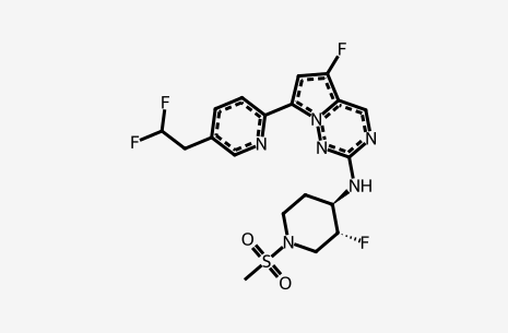 CS(=O)(=O)N1CC[C@@H](Nc2ncc3c(F)cc(-c4ccc(CC(F)F)cn4)n3n2)[C@H](F)C1